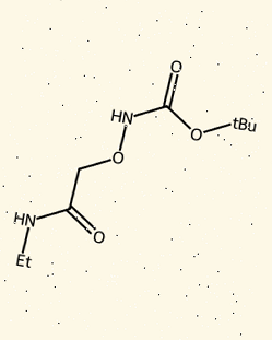 [CH2]CNC(=O)CONC(=O)OC(C)(C)C